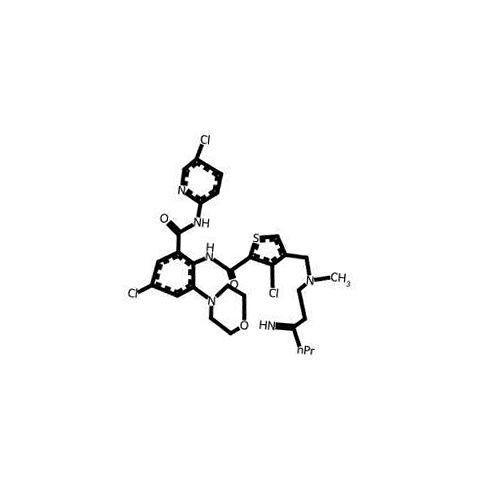 CCCC(=N)CCN(C)Cc1csc(C(=O)Nc2c(C(=O)Nc3ccc(Cl)cn3)cc(Cl)cc2N2CCOCC2)c1Cl